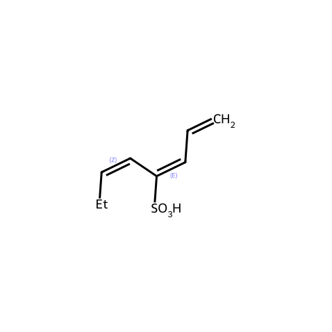 C=C/C=C(\C=C/CC)S(=O)(=O)O